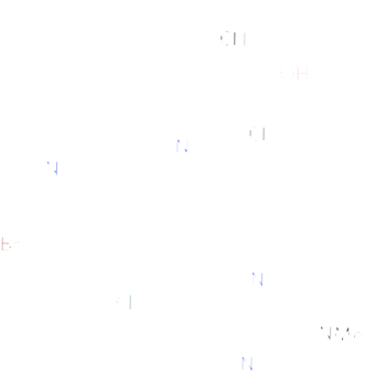 CNc1ncc(Cl)c(-c2cn(CC(C)(C)O)c3cnc(Br)cc23)n1